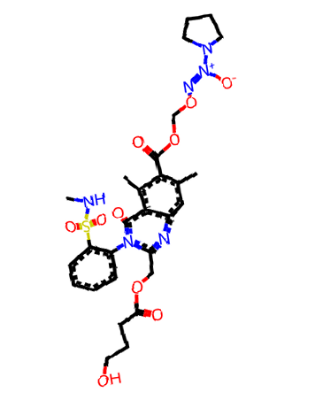 CNS(=O)(=O)c1ccccc1-n1c(COC(=O)CCCO)nc2cc(C)c(C(=O)OCO/N=[N+](\[O-])N3CCCC3)c(C)c2c1=O